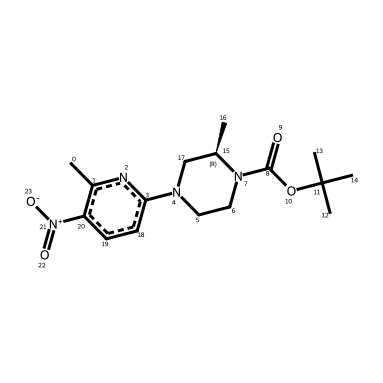 Cc1nc(N2CCN(C(=O)OC(C)(C)C)[C@H](C)C2)ccc1[N+](=O)[O-]